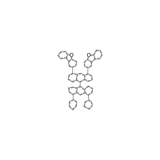 c1ccc(-c2cccc3c(-c4c5cccc(-c6ccc7oc8ccccc8c7c6)c5cc5c(-c6ccc7oc8ccccc8c7c6)cccc45)c4cccc(-c5ccccc5)c4cc23)cc1